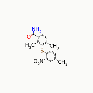 Cc1ccc(Sc2c(C)ccc(C(N)=O)c2C)c([N+](=O)[O-])c1